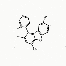 Cc1cc(C#N)c2oc3ccc(C(C)C)cc3c2c1-c1cccc[n+]1C